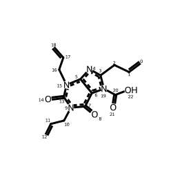 C=CCc1nc2c(c(=O)n(CC=C)c(=O)n2CC=C)n1C(=O)O